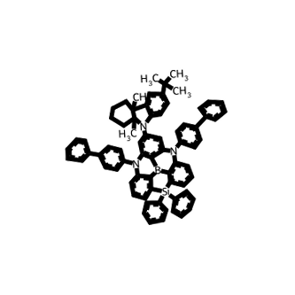 CC(C)(C)c1ccc2c(c1)C1(C)CCCCC1(C)N2c1cc2c3c(c1)N(c1ccc(-c4ccccc4)cc1)c1cccc4c1B3c1c(cccc1[Si]4(c1ccccc1)c1ccccc1)N2c1ccc(-c2ccccc2)cc1